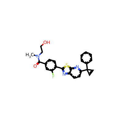 CN(CCO)C(=O)c1ccc(-c2nc3ccc(C4(c5ccccc5)C=C4)nc3s2)c(F)c1